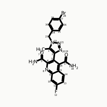 Cc1c(-c2c(C(N)=O)nc3cc(F)ccc3c2C(N)=O)nnn1Cc1ccc(Br)cc1